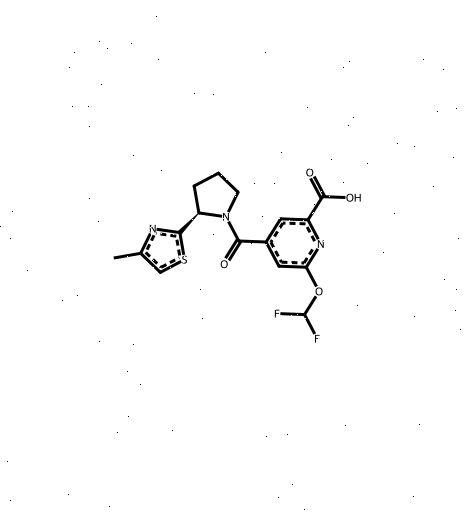 Cc1csc([C@H]2CCCN2C(=O)c2cc(OC(F)F)nc(C(=O)O)c2)n1